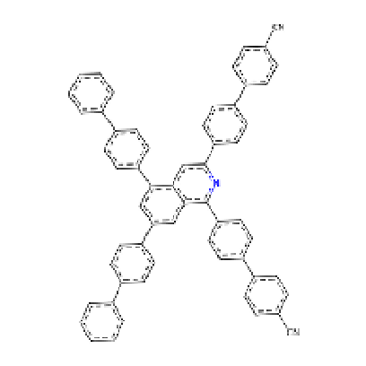 N#Cc1ccc(-c2ccc(-c3cc4c(-c5ccc(-c6ccccc6)cc5)cc(-c5ccc(-c6ccccc6)cc5)cc4c(-c4ccc(-c5ccc(C#N)cc5)cc4)n3)cc2)cc1